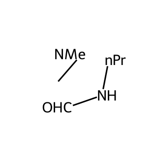 CCCNC=O.CNC